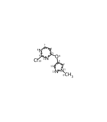 Cn1cc(Oc2ccnc(Cl)n2)cn1